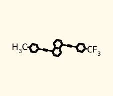 Cc1ccc(C#Cc2cccc3c(C#Cc4ccc(C(F)(F)F)cc4)cccc23)cc1